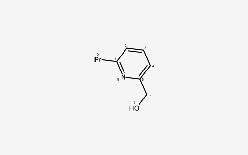 CC(C)c1cccc(CO)n1